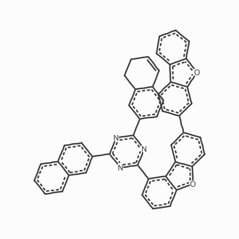 C1=Cc2ccc(-c3nc(-c4ccc5ccccc5c4)nc(-c4cccc5oc6ccc(-c7ccc8c(c7)oc7ccccc78)cc6c45)n3)cc2CC1